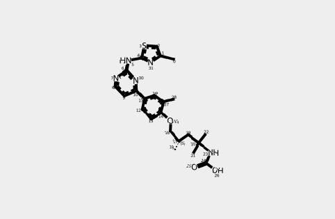 Cc1csc(Nc2nccc(-c3ccc(OC[C@@H](C)CC(C)(C)NC(=O)O)c(C)c3)n2)n1